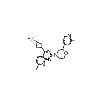 Cc1cc(C2CN(c3nc(C4CC(C(F)(F)F)C4)c4ccc(C)nc4n3)CCO2)ccn1